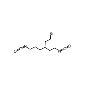 O=C=NCCCC(CCBr)CCN=C=O